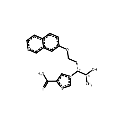 C[C@H](O)[C@@H](CCOc1ccc2ccncc2c1)n1cnc(C(N)=O)c1